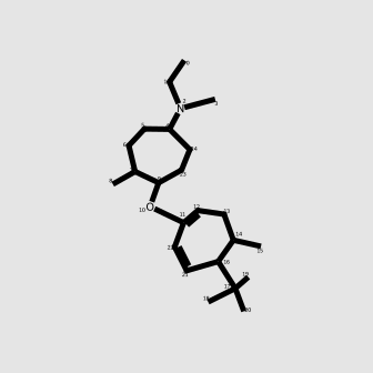 CCN(C)C1CCC(C)C(OC2=CCC(C)C(C(C)(C)C)C=C2)CC1